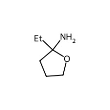 CCC1(N)CCCO1